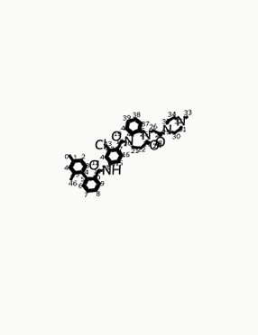 Cc1ccc(-c2ccccc2C(=O)Nc2ccc(C(=O)N3CCC(=O)N(CC(=O)N4CCN(C)CC4)c4ccccc43)c(Cl)c2)c(C)c1